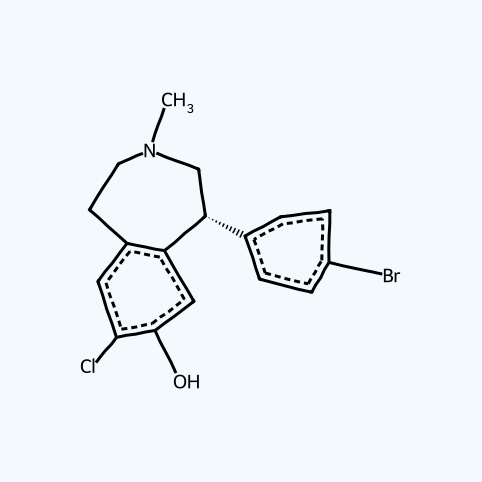 CN1CCc2cc(Cl)c(O)cc2[C@@H](c2ccc(Br)cc2)C1